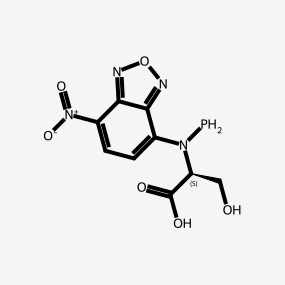 O=C(O)[C@H](CO)N(P)c1ccc([N+](=O)[O-])c2nonc12